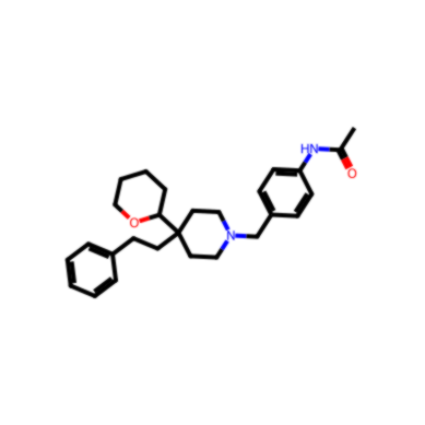 CC(=O)Nc1ccc(CN2CCC(CCc3ccccc3)(C3CCCCO3)CC2)cc1